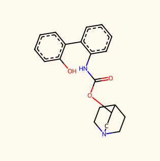 O=C(Nc1ccccc1-c1ccccc1O)OC1CN2CCC1CC2